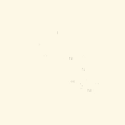 NC(=O)C1(NC=O)CCN(C(=O)CNC2C[C@@H]2c2cc(F)cc(F)c2OCc2ccccc2)C1